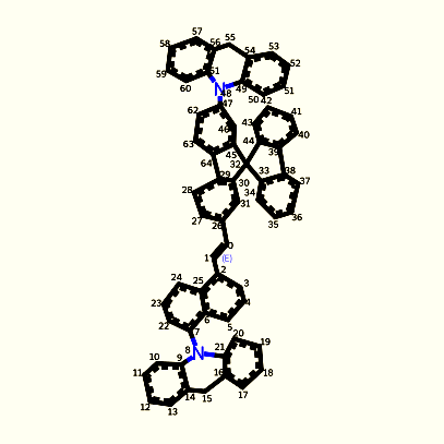 C(=C\c1cccc2c(N3c4ccccc4Cc4ccccc43)cccc12)/c1ccc2c(c1)C1(c3ccccc3-c3ccccc31)c1cc(N3c4ccccc4Cc4ccccc43)ccc1-2